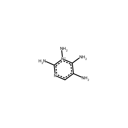 Nc1cnc(N)[n+](N)c1N